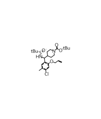 C=CCOc1cc(Cl)c(C)cc1C(N[S@@+]([O-])C(C)(C)C)C1CCN(C(=O)OC(C)(C)C)CC1